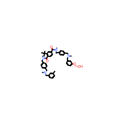 Cc1cccc(CN(C)Cc2ccc(CN(C)C(=O)c3ccc(C(=O)N(C)Cc4ccc(CN(C)Cc5cccc(OBO)c5)cc4)cc3C(C)(C)C)cc2)c1